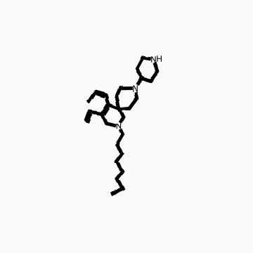 C=CC1=C(/C=C\C)C2(CCN(C3CCNCC3)CC2)CN(CCCCCCCC)C1